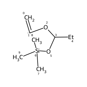 C=[C]OC(CC)O[Si](C)(C)C